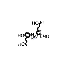 CCC(O)CCc1cc(/N=C\Nc2ccc(O)c(CCC(C)O)c2)c(C=O)s1